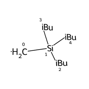 [CH2][Si](C(C)CC)(C(C)CC)C(C)CC